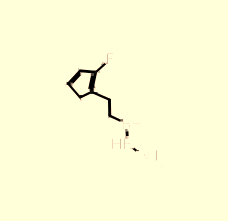 BBBCCC1=C(CC)C=CC1